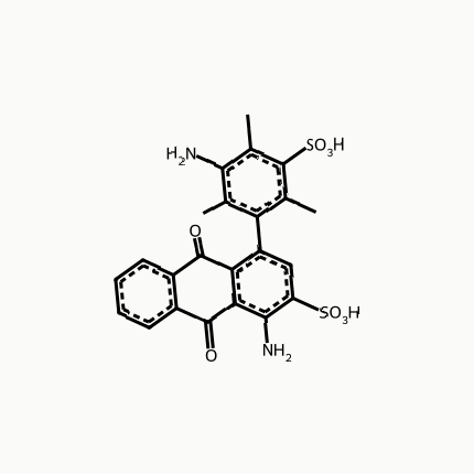 Cc1c(N)c(C)c(S(=O)(=O)O)c(C)c1-c1cc(S(=O)(=O)O)c(N)c2c1C(=O)c1ccccc1C2=O